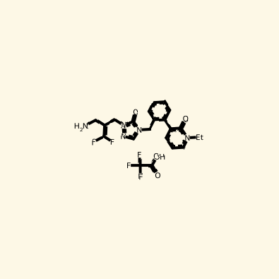 CCn1cccc(-c2ccccc2Cn2cnn(CC(CN)=C(F)F)c2=O)c1=O.O=C(O)C(F)(F)F